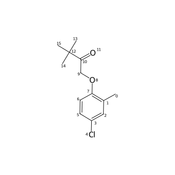 Cc1cc(Cl)ccc1OCC(=O)C(C)(C)C